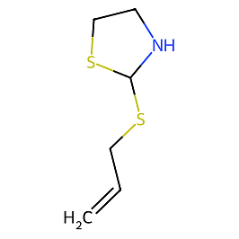 C=CCSC1NCCS1